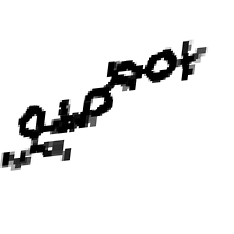 CC(C)c1ccccc1NC(=S)Nc1ccc(-c2ncn(-c3ccc(C(F)(F)F)cc3)n2)cc1